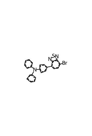 Brc1ccc(-c2ccc(N(c3ccccc3)c3ccccc3)cc2)c2nsnc12